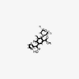 COC(=O)c1cc(C(=NO)c2nccs2)c(F)c(C)c1N1C[C@@H](C)O[C@@H](C)C1